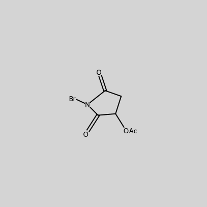 CC(=O)OC1CC(=O)N(Br)C1=O